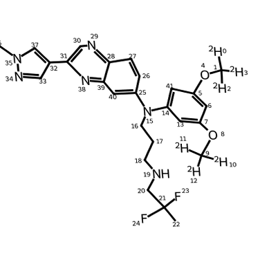 [2H]C([2H])([2H])Oc1cc(OC([2H])([2H])[2H])cc(N(CCCNCC(C)(F)F)c2ccc3ncc(-c4cnn(C)c4)nc3c2)c1